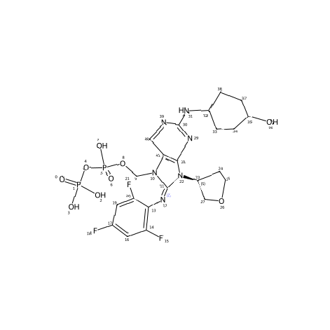 O=P(O)(O)OP(=O)(O)OCn1/c(=N\c2c(F)cc(F)cc2F)n([C@H]2CCOC2)c2nc(NC3CCC(O)CC3)ncc21